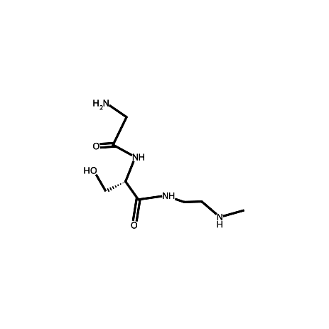 CNCCNC(=O)[C@H](CO)NC(=O)CN